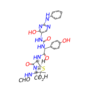 CC1(C)S[C@@H]2[C@@H](NC(=O)C(NC(=O)Nc3cnc(Nc4ccccc4)nc3O)c3ccc(O)cc3)C(=O)N2[C@@]1(NC=O)C(=O)O